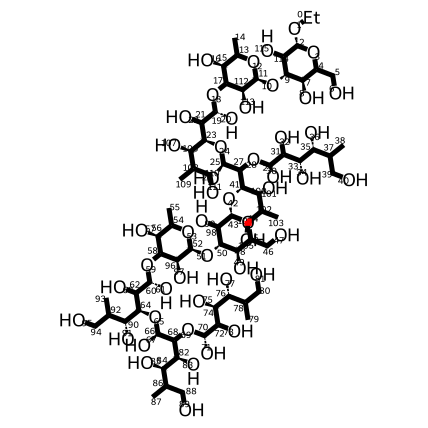 CCO[C@@H]1OC(CO)[C@@H](O)[C@H](O[C@@H]2OC(C)[C@H](O)C(O[C@H](O)C(O)[C@@H](O[C@H](O)C(O[C@@H](O)C(O)[C@@H](O)[C@H](O)C(C)CO)[C@@H](O[C@@H]3OC(CO)[C@@H](O)[C@H](O[C@@H]4OC(C)[C@H](O)C(O[C@H](O)C(O)[C@@H](O[C@H](O)C(O[C@@H](O)C(O)[C@@H](O)[C@H](O)C(C)CO)[C@@H](O)[C@H](O)C(C)CO)[C@H](O)C(C)CO)[C@@H]4O)C3O)[C@H](O)C(C)CO)[C@H](O)C(C)CO)[C@@H]2O)C1O